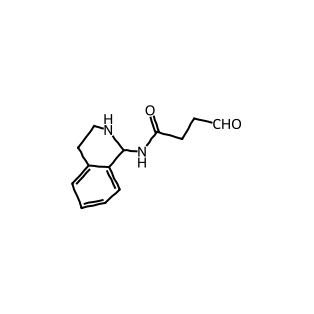 O=CCCC(=O)NC1NCCc2ccccc21